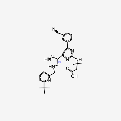 CC(C)(CC(=O)O)Nc1nc(/C(=C/NCc2cccc(C(C)(C)C)n2)N=N)cc(-c2cccc(C#N)c2)n1